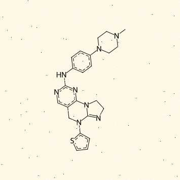 CN1CCN(c2ccc(Nc3ncc4c(n3)N3CCN=C3N(c3cccs3)C4)cc2)CC1